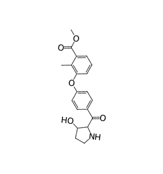 COC(=O)c1cccc(Oc2ccc(C(=O)C3NCCC3O)cc2)c1C